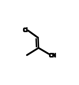 C/C(C#N)=C\Cl